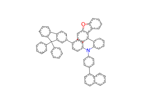 c1ccc(C2(c3ccccc3)c3ccccc3-c3ccc(-c4ccc(N(c5ccc(-c6cccc7ccccc67)cc5)c5ccccc5-c5cccc6oc7ccccc7c56)cc4)cc32)cc1